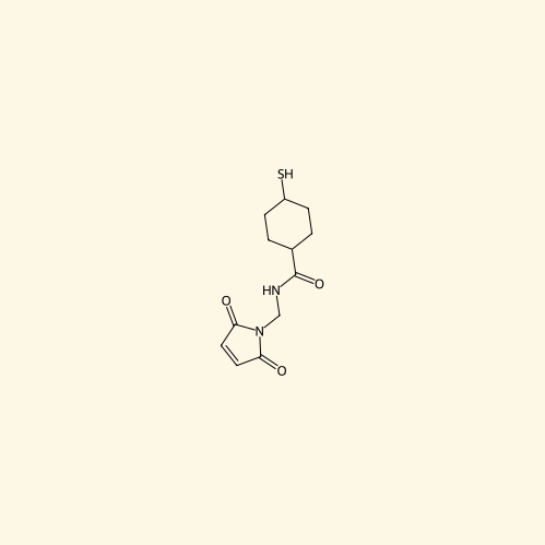 O=C(NCN1C(=O)C=CC1=O)C1CCC(S)CC1